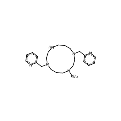 CCCCN1CCCN(Cc2ccccn2)CCNCCCN(Cc2ccccn2)CC1